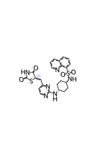 O=C1NC(=O)/C(=C/c2ccnc(N[C@H]3CC[C@H](NS(=O)(=O)c4cccc5cccnc45)CC3)n2)S1